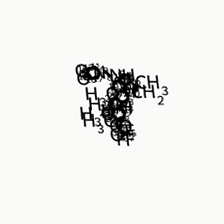 C=C(C)[C@@H]1CC[C@]2(NCCN3CCS(=O)(=O)CC3)CC[C@@]3(C)C4CC[C@H]5C(C)(C)C(OS(=O)(=O)C(F)(F)F)=CC[C@]5(C)[C@H]4CC[C@@H]3[C@@H]12